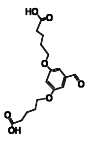 O=Cc1cc(OCCCCC(=O)O)cc(OCCCCC(=O)O)c1